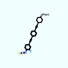 CCCCCC1CCC(C#Cc2ccc(C#Cc3ccc(N=C=S)c(F)c3)cc2)CC1